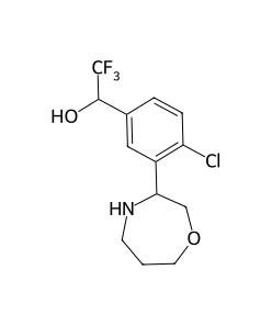 OC(c1ccc(Cl)c(C2COCCCN2)c1)C(F)(F)F